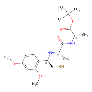 COc1ccc([C@H](CS)N[C@@H](C)C(=O)N[C@@H](C)C(=O)OC(C)(C)C)c(OC)c1